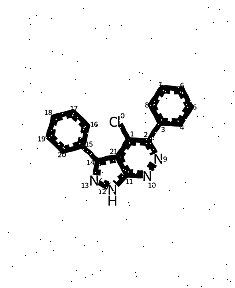 Clc1c(-c2ccccc2)nnc2[nH]nc(-c3ccccc3)c12